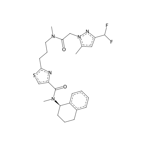 Cc1cc(C(F)F)nn1CC(=O)N(C)CCCc1nc(C(=O)N(C)[C@@H]2CCCc3ccccc32)cs1